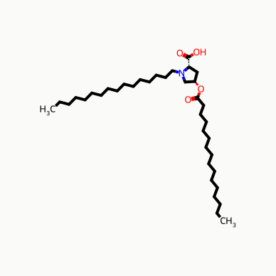 CCCCCCCCCCCCCCCCN1C[C@H](OC(=O)CCCCCCCCCCCCCCC)C[C@H]1C(=O)O